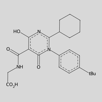 CC(C)(C)c1ccc(-n2c(C3CCCCC3)nc(O)c(C(=O)NCC(=O)O)c2=O)cc1